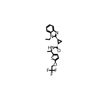 CCn1c([C@H]2C[C@@H]2C(=O)NC(C)c2ccc(OCC(F)(F)F)s2)nc2ccccc21